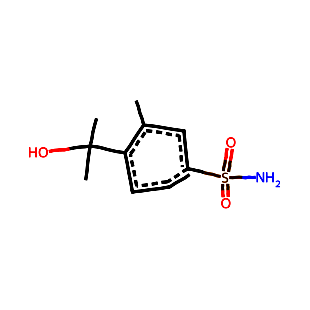 Cc1cc(S(N)(=O)=O)ccc1C(C)(C)O